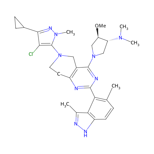 CO[C@@H]1CN(c2nc(-c3c(C)ccc4[nH]nc(C)c34)nc3c2CN(c2c(Cl)c(C4CC4)nn2C)CC3)C[C@H]1N(C)C